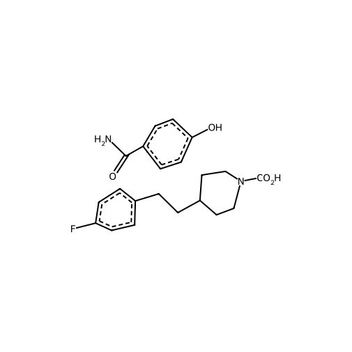 NC(=O)c1ccc(O)cc1.O=C(O)N1CCC(CCc2ccc(F)cc2)CC1